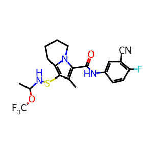 Cc1c(SNC(C)OC(F)(F)F)c2n(c1C(=O)Nc1ccc(F)c(C#N)c1)CCCC2